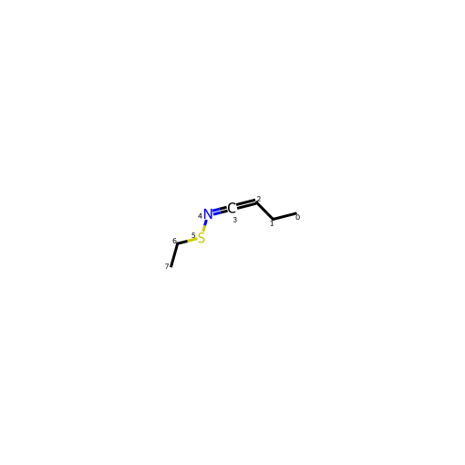 CCC=C=NSCC